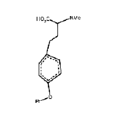 CNC(CCc1ccc(OC(C)C)cc1)C(=O)O